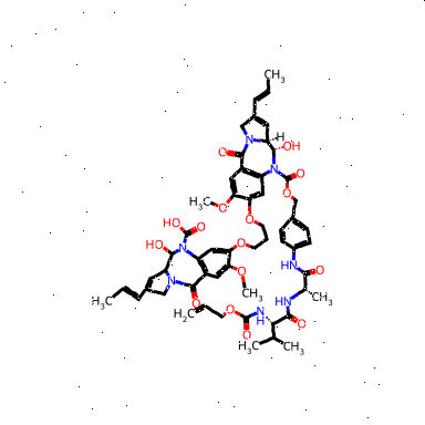 C=CCOC(=O)N[C@H](C(=O)N[C@@H](C)C(=O)Nc1ccc(COC(=O)N2c3cc(OCCCOc4cc5c(cc4OC)C(=O)N4CC(/C=C/C)=CC4C(O)N5C(=O)O)c(OC)cc3C(=O)N3CC(/C=C/C)=C[C@H]3[C@@H]2O)cc1)C(C)C